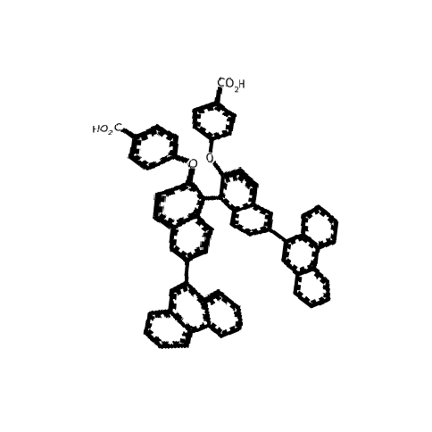 O=C(O)c1ccc(Oc2ccc3cc(-c4cc5ccccc5c5ccccc45)ccc3c2-c2c(Oc3ccc(C(=O)O)cc3)ccc3cc(-c4cc5ccccc5c5ccccc45)ccc23)cc1